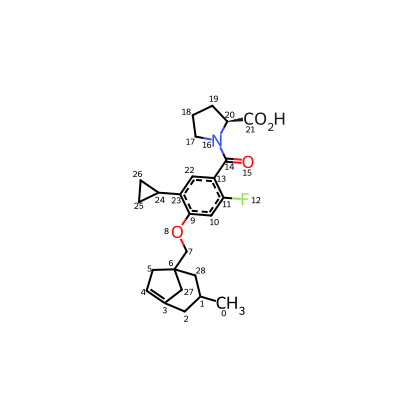 CC1CC2=CCC(COc3cc(F)c(C(=O)N4CCC[C@H]4C(=O)O)cc3C3CC3)(C2)C1